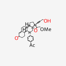 COCC(=O)[C@@]1(C#CCO)CC[C@H]2[C@@H]3CCC4=CC(=O)CCC4=C3[C@@H](c3ccc(C(C)=O)cc3)C[C@@]21C